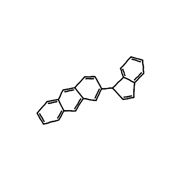 C1=CC(c2ccc3cc4ccccc4cc3c2)c2ccccc21